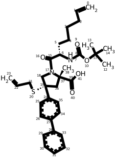 C=CCCCC[C@H](NC(=O)OC(C)(C)C)C(=O)N1C[C@](SCC=C)(c2ccc(-c3ccccc3)cc2)C[C@@]1(C)C(=O)O